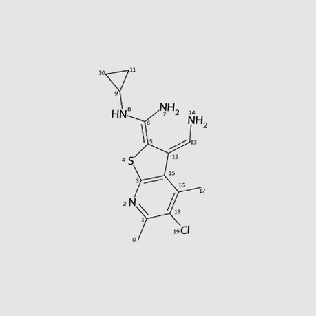 Cc1nc2sc(=C(/N)NC3CC3)/c(=C\N)c2c(C)c1Cl